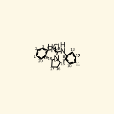 Cl.c1ccc(N=C(Nc2ccccc2)N2CCCC2)cc1